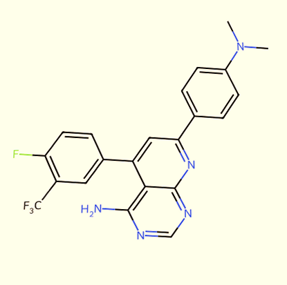 CN(C)c1ccc(-c2cc(-c3ccc(F)c(C(F)(F)F)c3)c3c(N)ncnc3n2)cc1